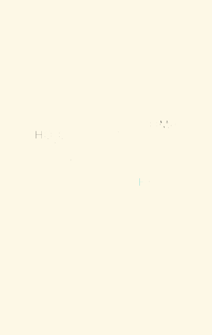 COCCc1c(F)cccc1C(=O)O